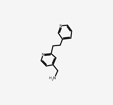 NCc1ccnc(CCc2cccnc2)c1